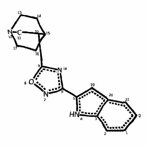 c1ccc2[nH]c(-c3noc(C4CN5CCC4CC5)n3)cc2c1